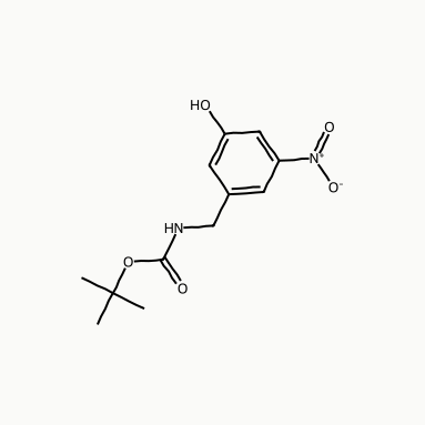 CC(C)(C)OC(=O)NCc1cc(O)cc([N+](=O)[O-])c1